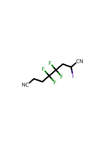 N#CCCC(F)(F)C(F)(F)CC(I)C#N